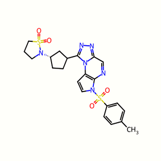 Cc1ccc(S(=O)(=O)n2ccc3c2ncc2nnc(C4CC[C@H](N5CCCS5(=O)=O)C4)n23)cc1